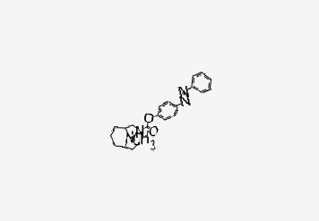 CN1C2CCCC1CN(C(=O)Oc1ccc(/N=N/c3ccccc3)cc1)CC2